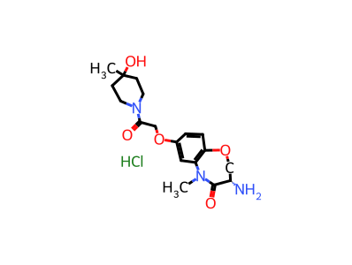 CN1C(=O)[C@@H](N)COc2ccc(OCC(=O)N3CCC(C)(O)CC3)cc21.Cl